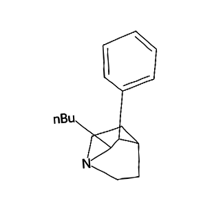 CCCCC1C(c2ccccc2)C2CCN1CC2